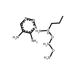 CCC[SiH](N)O[SiH2]O[SiH3].Nc1cnnnc1N